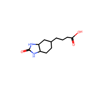 O=C(O)CCCC1CCC2NC(=O)NC2C1